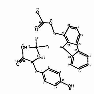 CC(C)(C)NC(Cc1ccc(O)cc1)C(=O)O.[O]C(=O)OCc1cccc2c1Cc1ccccc1-2